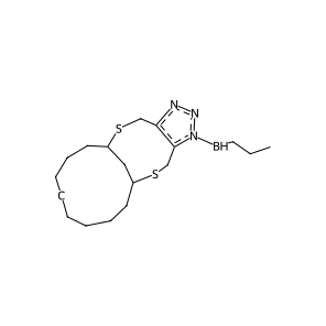 CCCBn1nnc2c1CSC1CCCCCCCCC(C1)SC2